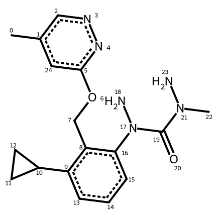 Cc1cnnc(OCc2c(C3CC3)cccc2N(N)C(=O)N(C)N)c1